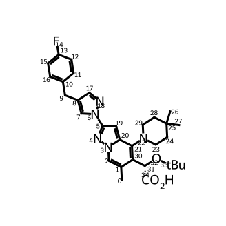 Cc1cn2nc(-n3cc(Cc4ccc(F)cc4)cn3)cc2c(N2CCC(C)(C)CC2)c1[C@H](OC(C)(C)C)C(=O)O